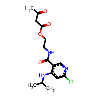 CC(=O)CC(=O)OCCNC(=O)c1cnc(Cl)cc1NC(C)C